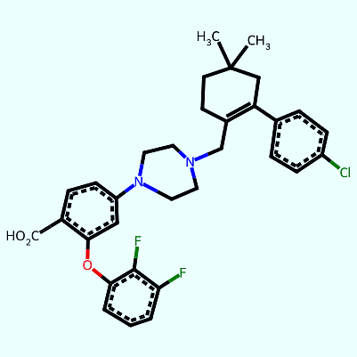 CC1(C)CCC(CN2CCN(c3ccc(C(=O)O)c(Oc4cccc(F)c4F)c3)CC2)=C(c2ccc(Cl)cc2)C1